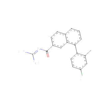 Cc1cc(F)ccc1-c1cccc2ccc(C(=O)N=C(N)N)cc12